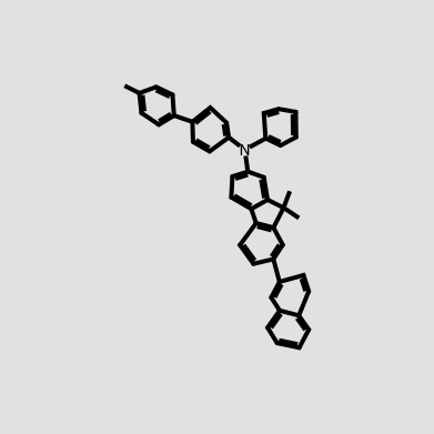 Cc1ccc(-c2ccc(N(c3ccccc3)c3ccc4c(c3)C(C)(C)c3cc(-c5ccc6ccccc6c5)ccc3-4)cc2)cc1